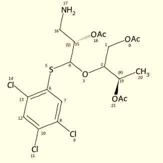 CC(=O)OCC(OC(Sc1cc(Cl)c(Cl)cc1Cl)[C@H](CN)OC(C)=O)[C@@H](C)OC(C)=O